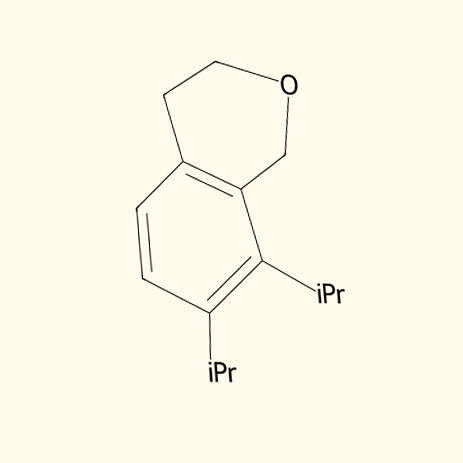 CC(C)c1ccc2c(c1C(C)C)COCC2